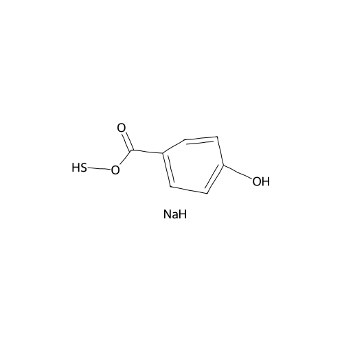 O=C(OS)c1ccc(O)cc1.[NaH]